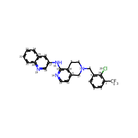 FC(F)(F)c1cccc(CN2CCc3c(ccnc3Nc3cnc4ccccc4c3)C2)c1Cl